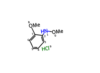 CONc1ccccc1OC.Cl